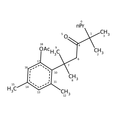 CCCC(C)(C)C(=O)CC(C)(C)c1c(C)cc(C)cc1OC(C)=O